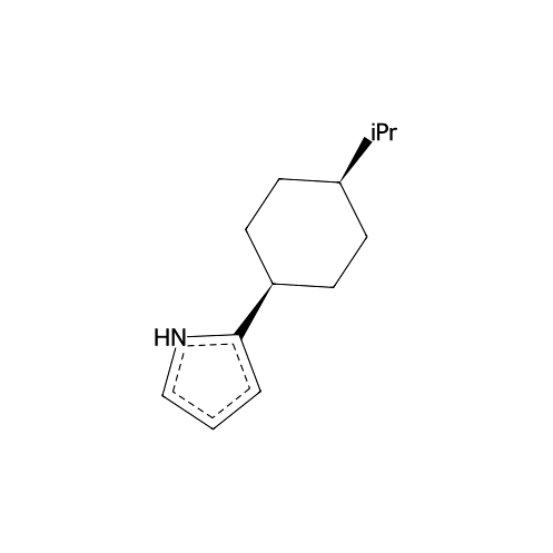 CC(C)[C@H]1CC[C@@H](c2ccc[nH]2)CC1